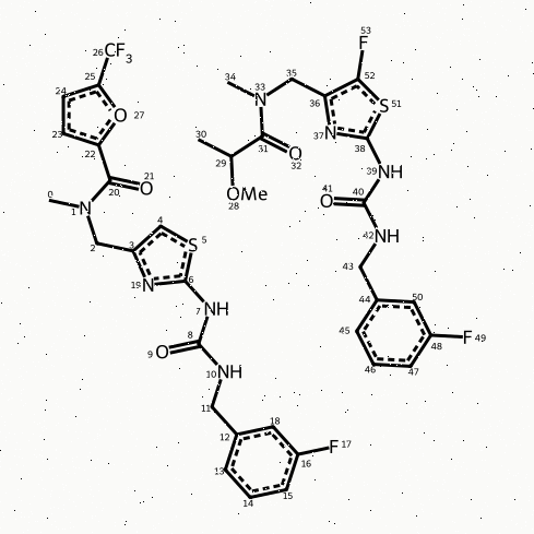 CN(Cc1csc(NC(=O)NCc2cccc(F)c2)n1)C(=O)c1ccc(C(F)(F)F)o1.COC(C)C(=O)N(C)Cc1nc(NC(=O)NCc2cccc(F)c2)sc1F